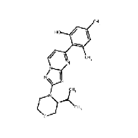 Cc1cc(C)c(-c2ccn3nc(N4CCOC[C@@H]4C(C)C)nc3n2)c(O)c1